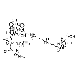 Cc1cc(CC(NC(=O)CCC(C(=O)O)N2CCN(CC=O)CCN(CC(N)=O)CCN(CC(N)=O)CC2)C(=O)NC(Cc2ccccc2)C(=O)NC(CCCCNC(=O)CCCCCCC(=O)NCCCCC(NC(=O)NC(CCC(=O)O)C(=O)O)C(=O)O)C(=O)O)ccc1O